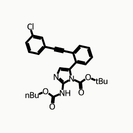 CCCCOC(=O)Nc1ncc(-c2ccccc2C#Cc2cccc(Cl)c2)n1C(=O)OC(C)(C)C